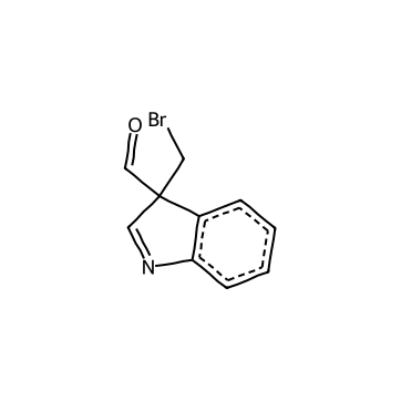 O=CC1(CBr)C=Nc2ccccc21